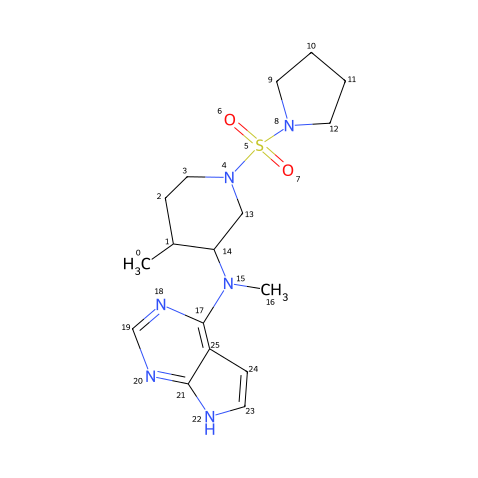 CC1CCN(S(=O)(=O)N2CCCC2)CC1N(C)c1ncnc2[nH]ccc12